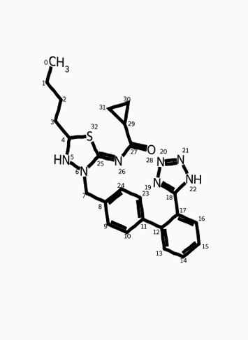 CCCCC1NN(Cc2ccc(-c3ccccc3-c3nnn[nH]3)cc2)C(=NC(=O)C2CC2)S1